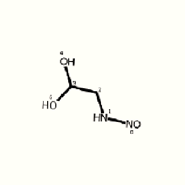 O=NNCC(O)O